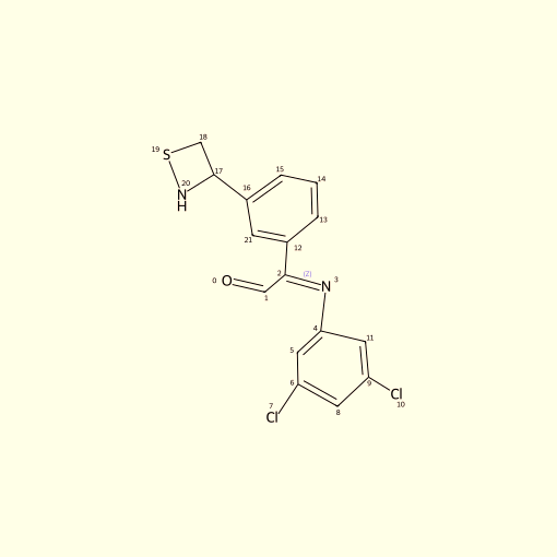 O=C/C(=N\c1cc(Cl)cc(Cl)c1)c1cccc(C2CSN2)c1